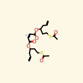 C=CCC(CCSC(C)=O)OC(=O)/C=C\C(=O)OC(CC=C)CCSC(C)=O